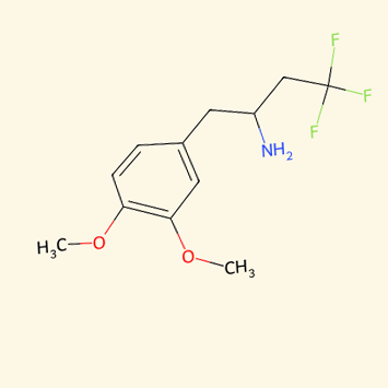 COc1ccc(CC(N)CC(F)(F)F)cc1OC